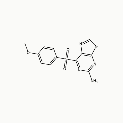 COc1ccc(S(=O)(=O)c2nc(N)nc3c2N=C[N]3)cc1